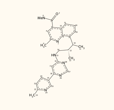 CNC(=O)c1cc(C)nc2c(C(C)[C@H](C)CNc3cc(-c4ccc(C)nc4)ncn3)cccc12